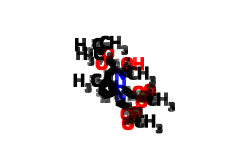 CB(O)N[C@H](CC(=O)OC(C)(C)C)Cc1cc(N(CCOS(C)(=O)=O)CCOS(C)(=O)=O)ccc1C